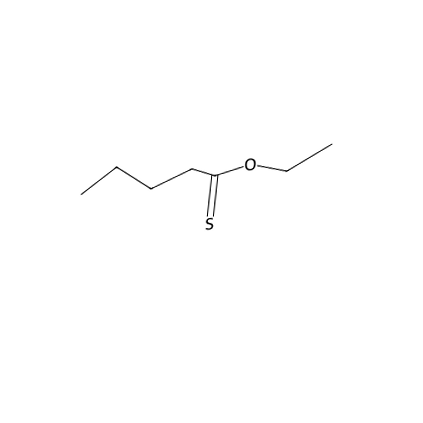 CCCCC(=S)OCC